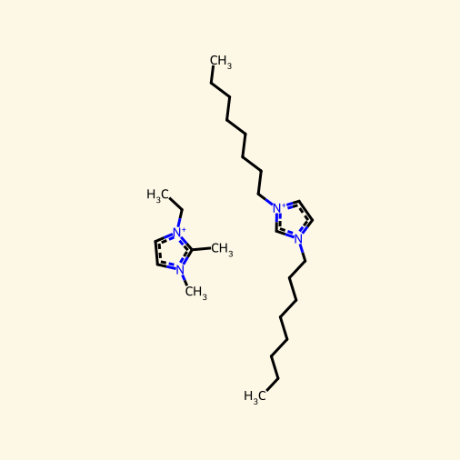 CCCCCCCCn1cc[n+](CCCCCCCC)c1.CC[n+]1ccn(C)c1C